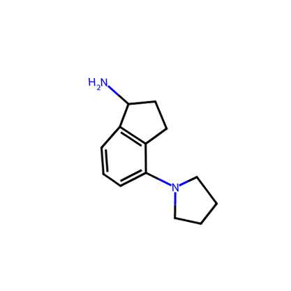 NC1CCc2c1cccc2N1CCCC1